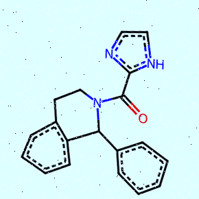 O=C(c1ncc[nH]1)N1CCc2ccccc2C1c1ccccc1